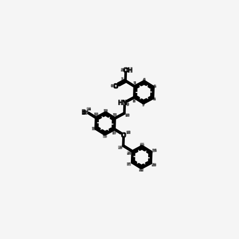 O=C(O)c1ccccc1NCc1cc(Br)ccc1OCc1ccccc1